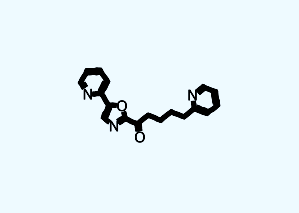 O=C(CCCCc1ccccn1)c1ncc(-c2ccccn2)o1